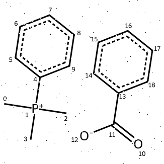 C[P+](C)(C)c1ccccc1.O=C([O-])c1ccccc1